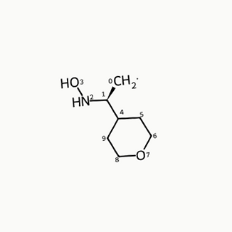 [CH2][C@H](NO)C1CCOCC1